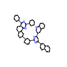 c1ccc(-c2nc(-c3ccccc3)c3ccc4ccc(-c5cccc(-c6nc(-c7ccc8ccccc8c7)cc(-c7cnc8ccccc8c7)n6)c5)cc4c3n2)cc1